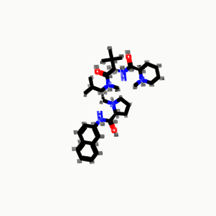 CC(C)[C@@H](CN1CCC[C@H]1C(=O)Nc1ccc2ccccc2c1)N(C)C(=O)[C@@H](NC(=O)[C@H]1CCCCN1C)C(C)(C)C